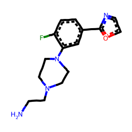 NCCN1CCN(c2cc(-c3ncco3)ccc2F)CC1